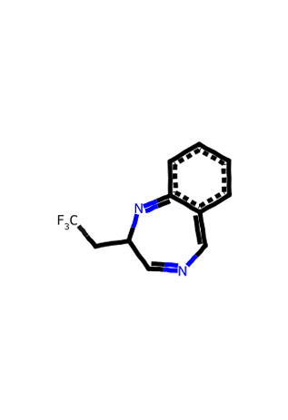 FC(F)(F)CC1C=NC=c2ccccc2=N1